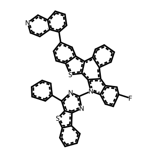 Fc1ccc2c(c1)c1c3ccccc3c3c4cc(-c5cccc6cnccc56)ccc4sc3c1n2-c1nc(-c2ccccc2)c2sc3ccccc3c2n1